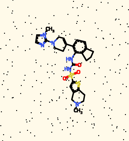 CN1CCc2sc(S(=O)(=O)NC(=O)Nc3c(C4=CCN(c5nccn5C)CC4)ccc4c3CCC4)cc2C1